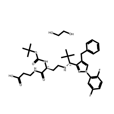 CC(C)(C)OC(=O)N[C@@H](CCN[C@@H](c1nn(-c2cc(F)ccc2F)cc1Cc1ccccc1)C(C)(C)C)C(=O)NCCC(=O)O.OCCO